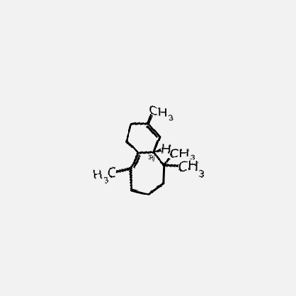 CC1=C[C@H]2C(=C(C)CCCC2(C)C)CC1